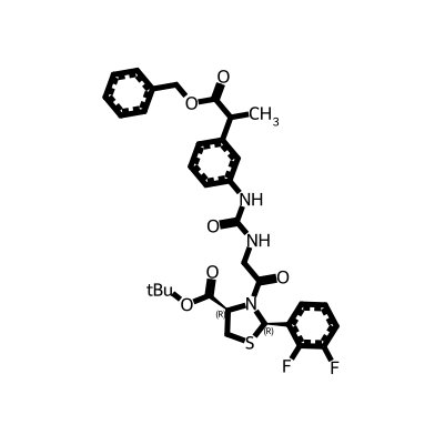 CC(C(=O)OCc1ccccc1)c1cccc(NC(=O)NCC(=O)N2[C@@H](c3cccc(F)c3F)SC[C@H]2C(=O)OC(C)(C)C)c1